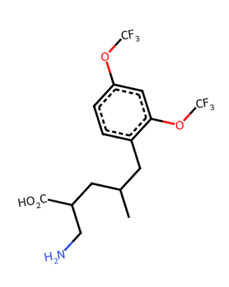 CC(Cc1ccc(OC(F)(F)F)cc1OC(F)(F)F)CC(CN)C(=O)O